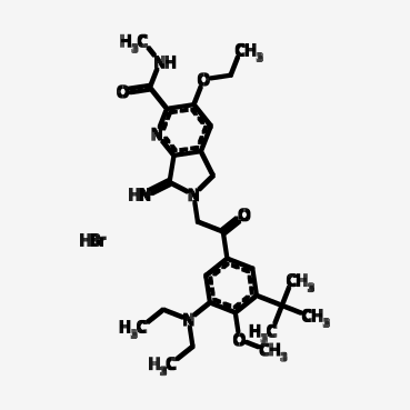 Br.CCOc1cc2c(nc1C(=O)NC)C(=N)N(CC(=O)c1cc(N(CC)CC)c(OC)c(C(C)(C)C)c1)C2